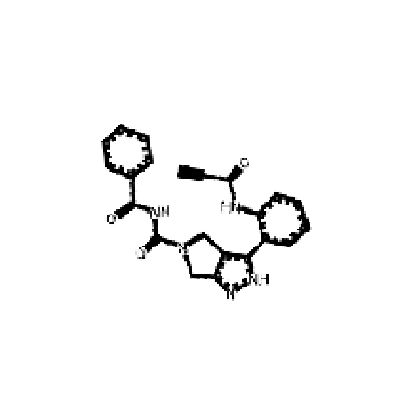 C#CC(=O)Nc1ccccc1-c1[nH]nc2c1CN(C(=O)NC(=O)c1ccccc1)C2